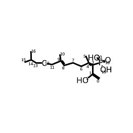 C=C(O)/C(=C(/C)CC/C=C(\C)CCCC(C)C)P(=O)(O)O